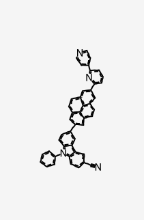 N#Cc1ccc2c(c1)c1cc(-c3cc4ccc5cc(-c6cccc(-c7ccncc7)n6)cc6ccc(c3)c4c56)ccc1n2-c1ccccc1